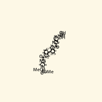 COP(=O)(CN1CCc2nc(C(=O)N3CCc4c(-c5cccc6c5CCN6C(=O)c5nc6c(s5)CN(CP(=O)(O)O)CC6)cccc43)sc2C1)OC